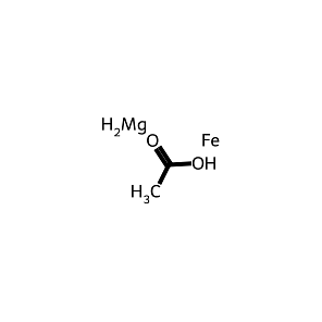 CC(=O)O.[Fe].[MgH2]